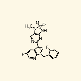 CN1c2cnc(-c3nn(Cc4ccccc4F)c4ncc(F)cc34)nc2NS1(=O)=O